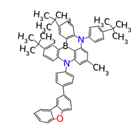 Cc1cc2c3c(c1)N(c1ccc(C(C)(C)C)cc1)c1ccc(C(C)(C)C)cc1B3c1cc(C(C)(C)C)ccc1N2c1ccc(-c2ccc3oc4ccccc4c3c2)cc1